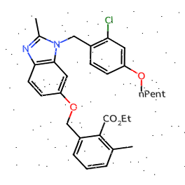 CCCCCOc1ccc(Cn2c(C)nc3ccc(OCc4cccc(C)c4C(=O)OCC)cc32)c(Cl)c1